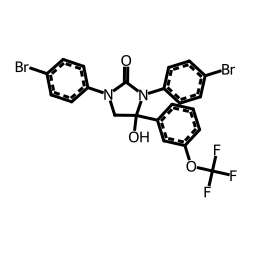 O=C1N(c2ccc(Br)cc2)CC(O)(c2cccc(OC(F)(F)F)c2)N1c1ccc(Br)cc1